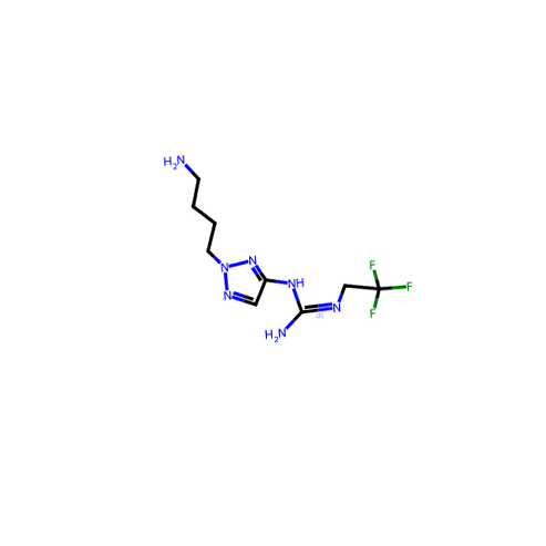 NCCCCn1ncc(N/C(N)=N\CC(F)(F)F)n1